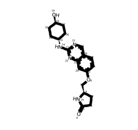 O=C1CC[C@H](COc2ccc3cnc(N[C@H]4CC[C@H](O)CC4)nc3c2)N1